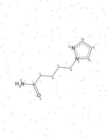 NC(=O)CCCCn1cccn1